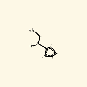 CNC[C@@H](O)c1nccs1